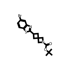 CC(C)(C)OC(=O)N1CC2(CC(c3nc4cc(Br)ccc4s3)C2)C1